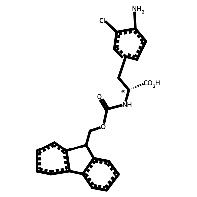 Nc1ccc(C[C@@H](NC(=O)OCC2c3ccccc3-c3ccccc32)C(=O)O)cc1Cl